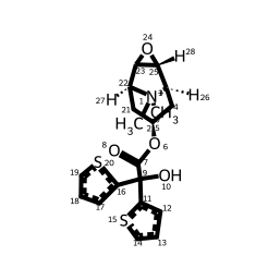 C[N+]1(C)[C@@H]2C[C@@H](OC(=O)C(O)(c3cccs3)c3cccs3)C[C@H]1C1O[C@@H]12